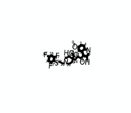 COc1ccc2ncc(C)c(C(O)CCC3(C(=O)O)CCN(CCSc4c(F)cc(F)cc4F)CC3)c2c1